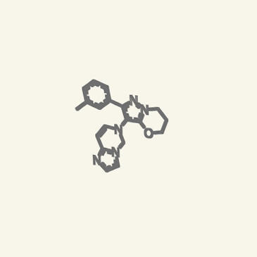 Cc1cccc(-c2nn3c(c2N2C=Cc4nccn4C2)OCCC3)c1